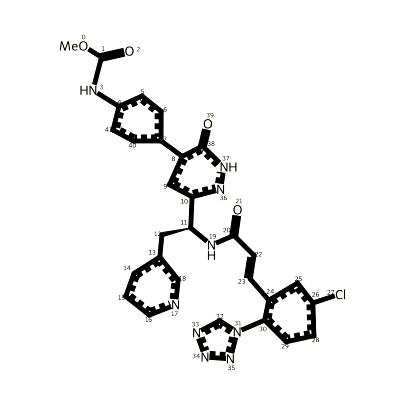 COC(=O)Nc1ccc(-c2cc([C@H](Cc3cccnc3)NC(=O)/C=C/c3cc(Cl)ccc3-n3cnnn3)n[nH]c2=O)cc1